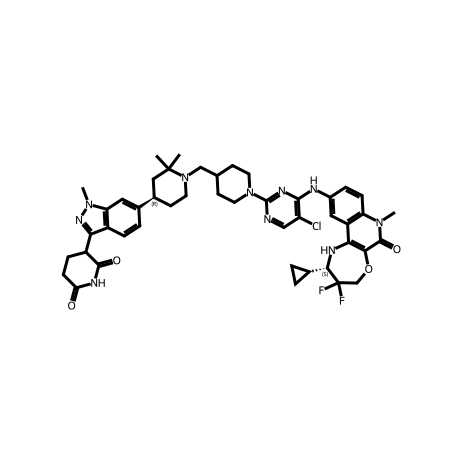 Cn1nc(C2CCC(=O)NC2=O)c2ccc([C@@H]3CCN(CC4CCN(c5ncc(Cl)c(Nc6ccc7c(c6)c6c(c(=O)n7C)OCC(F)(F)[C@H](C7CC7)N6)n5)CC4)C(C)(C)C3)cc21